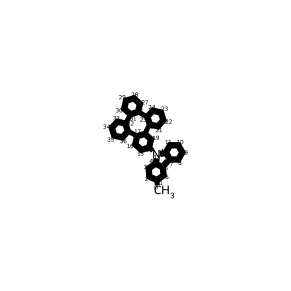 Cc1ccc2c(c1)c1ccccc1n2-c1ccc2c(c1)-c1ccccc1-c1ccccc1-c1ccccc1-2